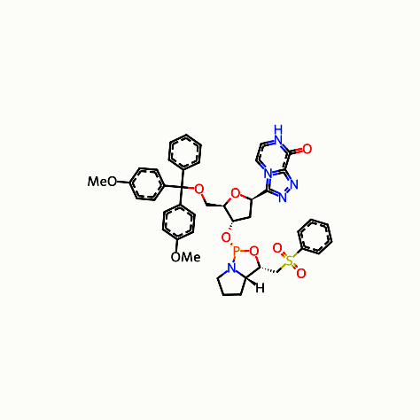 COc1ccc(C(OC[C@H]2O[C@@H](c3nnc4c(=O)[nH]ccn34)C[C@@H]2O[P@]2O[C@H](CS(=O)(=O)c3ccccc3)[C@@H]3CCCN32)(c2ccccc2)c2ccc(OC)cc2)cc1